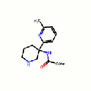 COC(=O)NC1(c2cccc(C)n2)CCCNC1